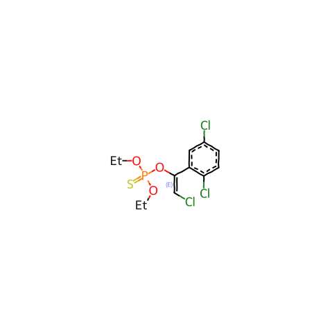 CCOP(=S)(OCC)O/C(=C/Cl)c1cc(Cl)ccc1Cl